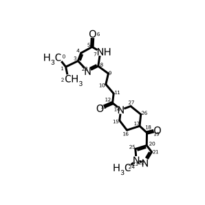 CC(C)c1cc(=O)[nH]c(CCCC(=O)N2CCC(C(=O)c3cnn(C)c3)CC2)n1